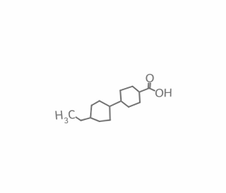 CCC1CCC(C2CCC(C(=O)O)CC2)CC1